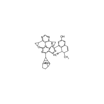 C#CC1c2c(cc(O)cc2-c2ncc3c(C4C5C6CCC(C[C@H]45)N6)nc(=O)n(-c4c(C5CC5)ncnc4C4CC4)c3c2F)C=CC1C